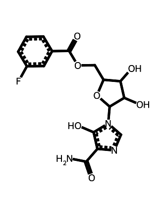 NC(=O)c1ncn(C2OC(COC(=O)c3cccc(F)c3)C(O)C2O)c1O